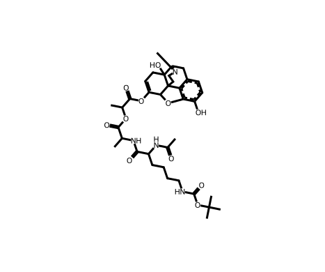 CC(=O)NC(CCCCNC(=O)OC(C)(C)C)C(=O)NC(C)C(=O)OC(C)C(=O)OC1=CCC2(O)C3Cc4ccc(O)c5c4C2(CCN3C)C1O5